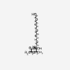 C=C(C)C(=O)O.C=C(C)C(=O)O.OCCOCCOCCOCCOCCOCCO